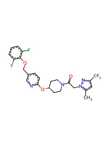 Cc1cc(C(F)(F)F)nn1CC(=O)N1CCC(Oc2ccc(COc3c(F)cccc3F)cn2)CC1